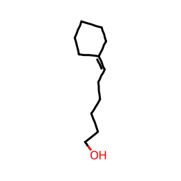 OCCCCCC=C1CCCCC1